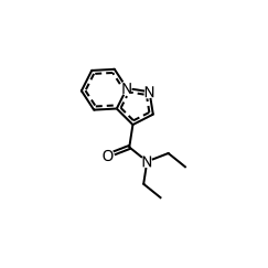 CCN(CC)C(=O)c1cnn2ccccc12